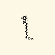 CCCCCCCCCCCCCCCCCCC=CC(=O)Oc1ccccc1